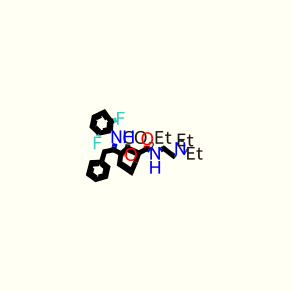 CCOC(=O)C1=C(C(=O)NCCN(CC)CC)C2C=CC1(C(Cc1ccccc1)Nc1c(F)cccc1F)O2